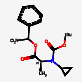 C[C@@H](C(=O)OC(c1ccccc1)[N+](=O)[O-])N(C(=O)OC(C)(C)C)C1CC1